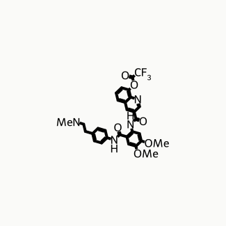 CNCCc1ccc(NC(=O)c2cc(OC)c(OC)cc2NC(=O)c2cnc3c(OC(=O)C(F)(F)F)cccc3c2)cc1